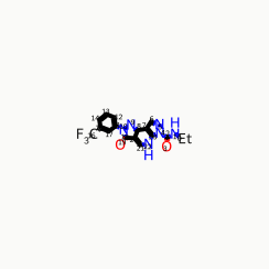 CCNC(=O)n1ncc2c3nn(-c4cccc(C(F)(F)F)c4)c(=O)c-3c[nH]c21